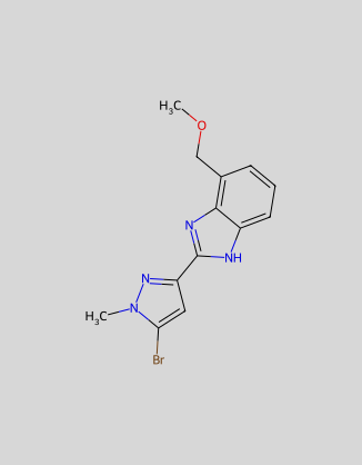 COCc1cccc2[nH]c(-c3cc(Br)n(C)n3)nc12